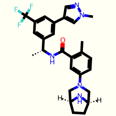 Cc1ccc(N2C[C@H]3CC[C@@H](C2)N3)cc1C(=O)N[C@H](C)c1cc(-c2cnn(C)c2)cc(C(F)(F)F)c1